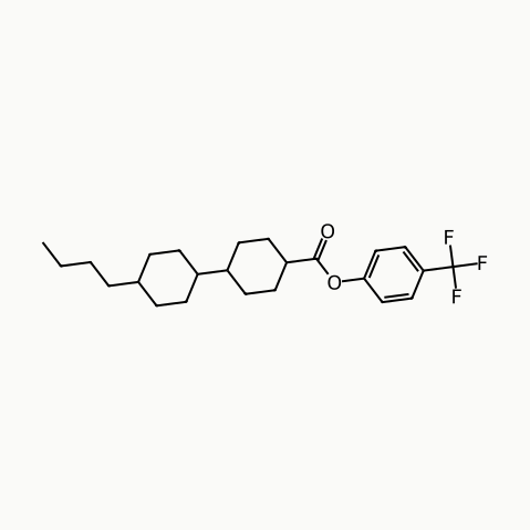 CCCCC1CCC(C2CCC(C(=O)Oc3ccc(C(F)(F)F)cc3)CC2)CC1